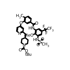 COc1c(NC(=O)c2ccc(C)c(Oc3ccnc(CC4CCN(C(=O)OC(C)(C)C)CC4)c3)c2)cc(C(F)(F)C(F)(F)F)cc1NS(C)(=O)=O